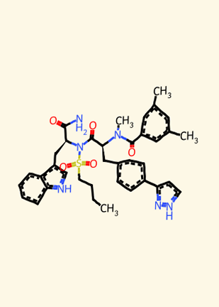 CCCCS(=O)(=O)N(C(=O)[C@H](Cc1ccc(-c2cc[nH]n2)cc1)N(C)C(=O)c1cc(C)cc(C)c1)[C@@H](Cc1c[nH]c2ccccc12)C(N)=O